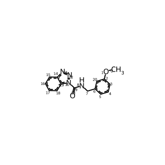 COc1cccc(CNC(=O)n2nnc3ccccc32)c1